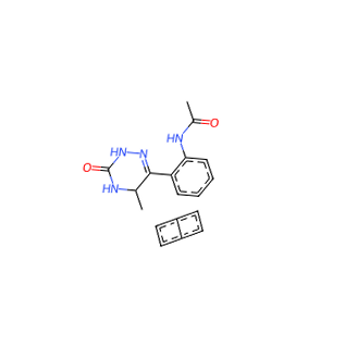 CC(=O)Nc1ccccc1C1=NNC(=O)NC1C.c1cc2ccc1-2